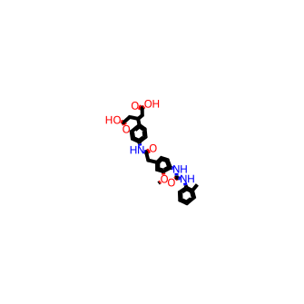 COc1cc(CC(=O)Nc2ccc(C(CC(=O)O)CC(=O)O)cc2)ccc1NC(=O)Nc1ccccc1C